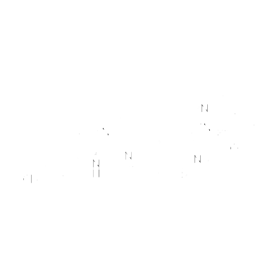 CC1(C)C=NN(c2cc(-c3ccnc(Nc4cccc(Cl)c4)n3)ccn2)C1=O